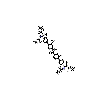 COc1cc(NC(=O)c2ccc(C3=CCN(/C(=N\C(=O)OC(C)(C)C)NC(=O)OC(C)(C)C)CC3)c(F)c2F)ccc1C1=CCN(/C(=N\C(=O)OC(C)(C)C)NC(=O)OC(C)(C)C)CC1